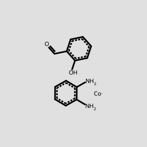 Nc1ccccc1N.O=Cc1ccccc1O.[Co]